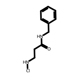 O=C(CCNCl)NCc1ccccc1